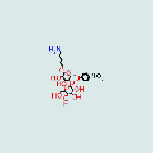 NCCCCCO[C@@H]1OC(COc2ccc([N+](=O)[O-])cc2)[C@@H](O[C@@H]2OC(CO)[C@H](O)[C@H](O)C2O)[C@H](O)C1O